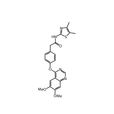 COc1cc2ncnc(Oc3ccc(CC(=O)Nc4nc(C)c(C)s4)cc3)c2cc1OC